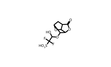 O=C1OC2C(OC(O)C(F)(F)S(=O)(=O)O)C3CC1C2O3